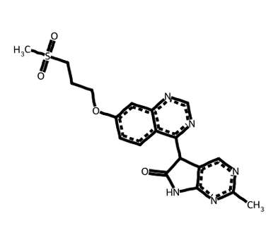 Cc1ncc2c(n1)NC(=O)C2c1ncnc2cc(OCCCS(C)(=O)=O)ccc12